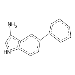 Nc1c[nH]c2ccc(-c3ccccc3)cc12